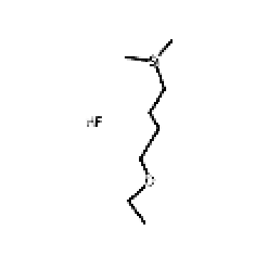 CCOCCCC[Si](C)C.F